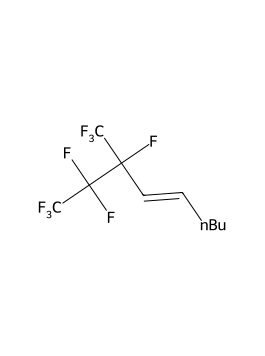 CCCC/C=C/C(F)(C(F)(F)F)C(F)(F)C(F)(F)F